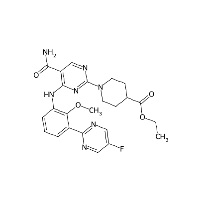 CCOC(=O)C1CCN(c2ncc(C(N)=O)c(Nc3cccc(-c4ncc(F)cn4)c3OC)n2)CC1